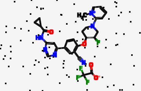 C[n+]1ccccc1N1CC[C@H](Oc2ccc(-c3cc(NC(=O)C4CC4)ncn3)cc2C#N)[C@H](F)C1.O=C([O-])C(F)(F)F